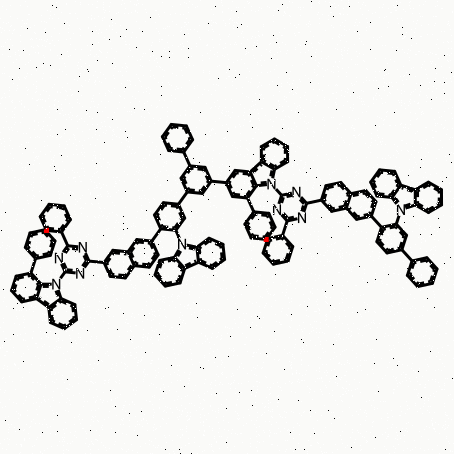 c1ccc(-c2cc(-c3ccc(-c4ccc5ccc(-c6nc(-c7ccccc7)nc(-n7c8ccccc8c8cccc(-c9ccccc9)c87)n6)cc5c4)c(-n4c5ccccc5c5ccccc54)c3)cc(-c3cc(-c4ccccc4)c4c(c3)c3ccccc3n4-c3nc(-c4ccccc4)nc(-c4ccc5ccc(-c6ccc(-c7ccccc7)cc6-n6c7ccccc7c7ccccc76)cc5c4)n3)c2)cc1